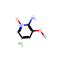 CCOc1ccc[n+]([O-])c1N.Cl